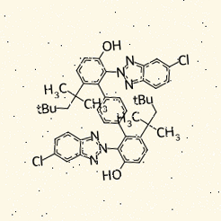 CC(C)(C)CC(C)(C)c1c[c]c(O)c(-n2nc3ccc(Cl)cc3n2)c1-c1ccc(-c2c(C(C)(C)CC(C)(C)C)c[c]c(O)c2-n2nc3ccc(Cl)cc3n2)cc1